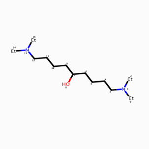 CCN(CC)CCCCC(O)CCCCN(CC)CC